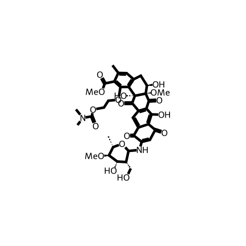 COC(=O)c1c(C)cc2c(c1OCCOC(=O)N(C)C)[C@]1(O)C(=O)c3cc4c(c(O)c3C(=O)[C@]1(OC)[C@H](O)C2)C(=O)C=C(NC1O[C@@H](C)[C@H](OC)[C@@H](O)[C@H]1CO)C4=O